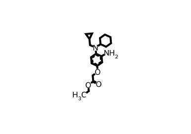 CCOC(=O)COc1ccc(N(CC2CC2)C2CCCCC2)c(N)c1